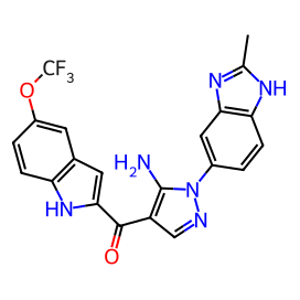 Cc1nc2cc(-n3ncc(C(=O)c4cc5cc(OC(F)(F)F)ccc5[nH]4)c3N)ccc2[nH]1